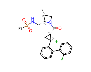 CCS(=O)(=O)NC[C@@H]1[C@H](C)CN1C(=O)[C@H]1C[C@]1(F)c1ccccc1-c1ccccc1F